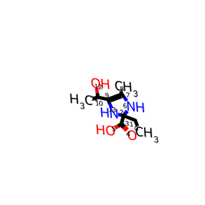 CCC1(C(=O)O)NC(C)=C(C(C)O)N1